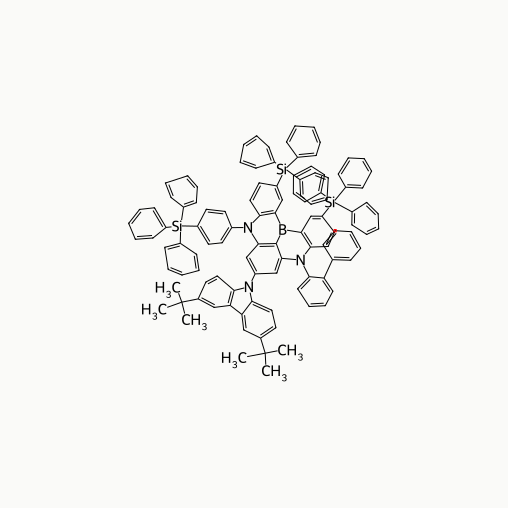 CC(C)(C)c1ccc2c(c1)c1cc(C(C)(C)C)ccc1n2-c1cc2c3c(c1)N(c1ccccc1-c1ccccc1)c1ccc([Si](c4ccccc4)(c4ccccc4)c4ccccc4)cc1B3c1cc([Si](c3ccccc3)(c3ccccc3)c3ccccc3)ccc1N2c1ccc([Si](c2ccccc2)(c2ccccc2)c2ccccc2)cc1